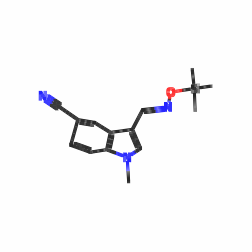 Cn1cc(C=NO[Si](C)(C)C)c2cc(C#N)ccc21